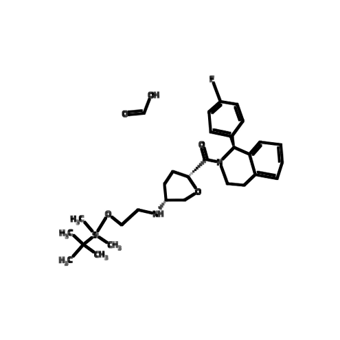 CC(C)(C)[Si](C)(C)OCCN[C@@H]1CC[C@H](C(=O)N2CCc3ccccc3[C@@H]2c2ccc(F)cc2)OC1.O=CO